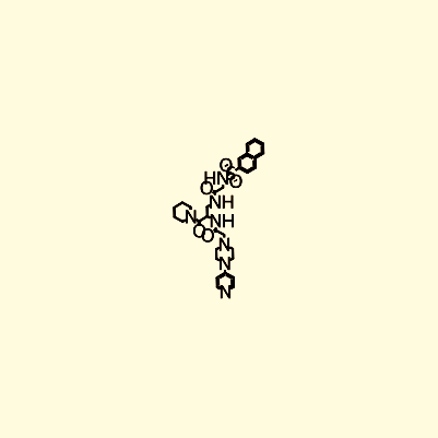 O=C(CNS(=O)(=O)c1ccc2ccccc2c1)NCC(NC(=O)CN1CCN(c2ccncc2)CC1)C(=O)N1CCCCC1